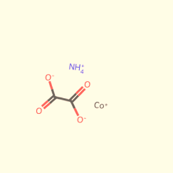 O=C([O-])C(=O)[O-].[Co+].[NH4+]